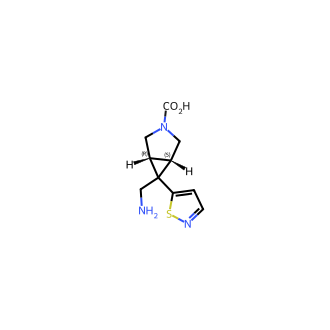 NCC1(c2ccns2)[C@@H]2CN(C(=O)O)C[C@@H]21